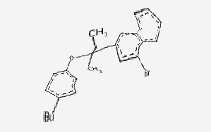 CCC(C)c1ccc(OC(C)(C)c2cc(Br)c3ccccc3c2)cc1